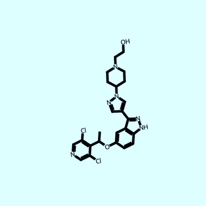 CC(Oc1ccc2[nH]nc(-c3cnn(C4CCN(CCO)CC4)c3)c2c1)c1c(Cl)cncc1Cl